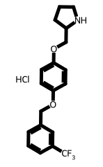 Cl.FC(F)(F)c1cccc(COc2ccc(OCC3CCCN3)cc2)c1